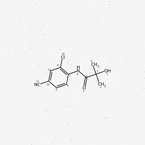 CC(C)(O)C(=O)Nc1ccc(C#N)cc1Cl